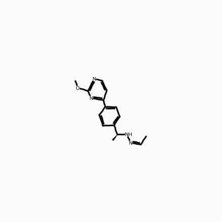 C/C=N\N[C@@H](C)c1ccc(-c2ccnc(OC)n2)cc1